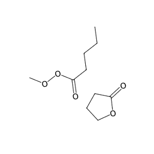 CCCCC(=O)OOC.O=C1CCCO1